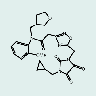 COc1ccccc1N(C[C@H]1CCOC1)C(=O)Cc1noc(CN2C(=O)C(=O)N(CC3CC3)C2=O)n1